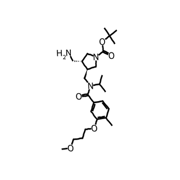 COCCCOc1cc(C(=O)N(C[C@@H]2CN(C(=O)OC(C)(C)C)C[C@H]2CN)C(C)C)ccc1C